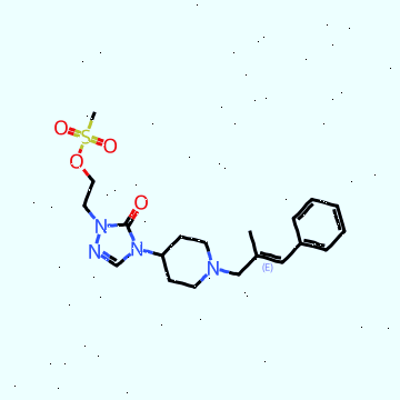 C/C(=C\c1ccccc1)CN1CCC(n2cnn(CCOS(C)(=O)=O)c2=O)CC1